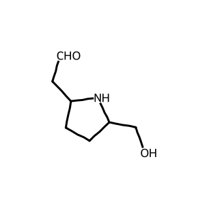 O=CCC1CCC(CO)N1